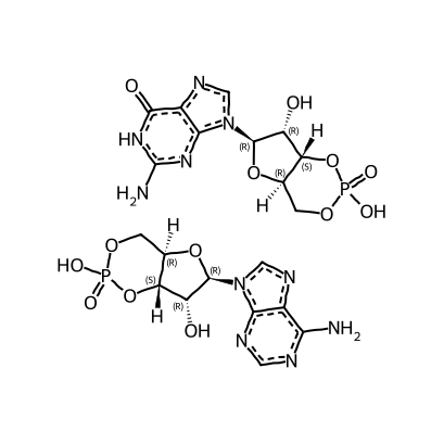 Nc1nc2c(ncn2[C@@H]2O[C@@H]3COP(=O)(O)O[C@H]3[C@H]2O)c(=O)[nH]1.Nc1ncnc2c1ncn2[C@@H]1O[C@@H]2COP(=O)(O)O[C@H]2[C@H]1O